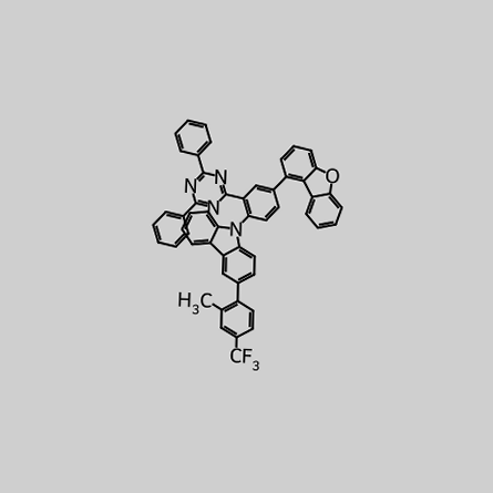 Cc1cc(C(F)(F)F)ccc1-c1ccc2c(c1)c1ccccc1n2-c1ccc(-c2cccc3oc4ccccc4c23)cc1-c1nc(-c2ccccc2)nc(-c2ccccc2)n1